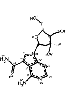 C[C@@]1(O)C(O)[C@@H](CO)OC1n1cc(C(N)=S)c2c(N)ncnc21